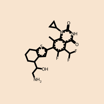 Cc1c(-c2cc3c(s2)CCCC3C(O)CN)c(F)c(C(F)F)c2c(=O)[nH]c(=O)n(C3CC3)c12